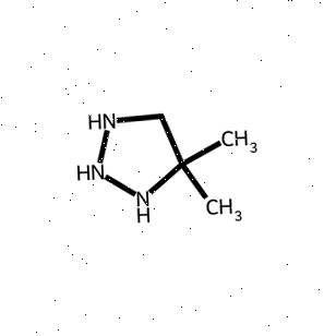 CC1(C)CNNN1